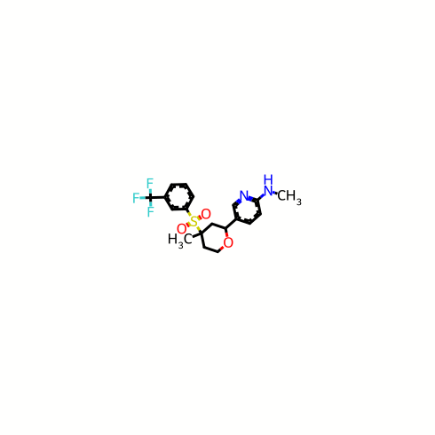 CNc1ccc(C2CC(C)(S(=O)(=O)c3cccc(C(F)(F)F)c3)CCO2)cn1